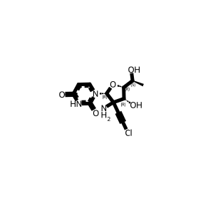 C[C@H](O)[C@H]1O[C@@H](n2ccc(=O)[nH]c2=O)C(N)(C#CCl)[C@H]1O